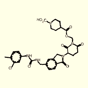 Cc1ccc(NC(=O)NCc2ccc3c(c2)CN(C2CCC(=O)N(COC(=O)C4CCN(C(=O)O)CC4)C2=O)C3=O)cc1Cl